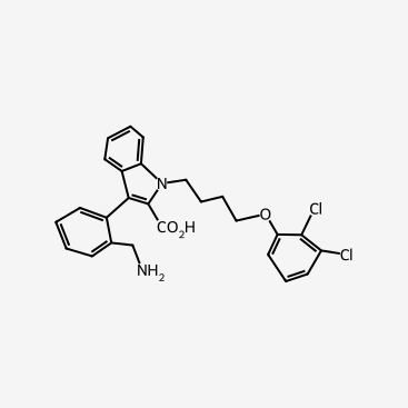 NCc1ccccc1-c1c(C(=O)O)n(CCCCOc2cccc(Cl)c2Cl)c2ccccc12